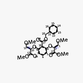 CO/C=C(\Oc1cccc(O/C(=C\OC)C(=O)OC)c1C(=O)OCc1ccccc1)C(=O)OC